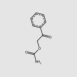 NC(=O)OCC(=O)c1ccccc1